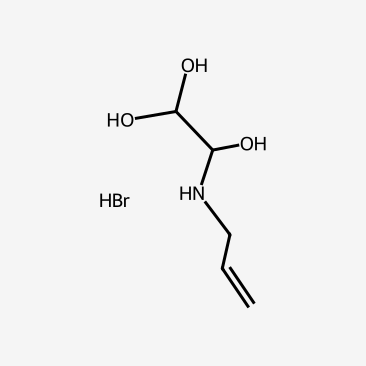 Br.C=CCNC(O)C(O)O